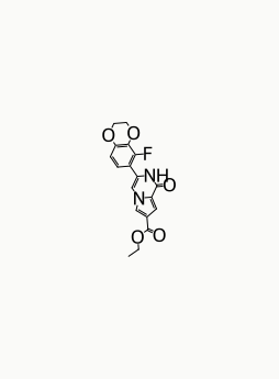 CCOC(=O)c1cc2c(=O)[nH]c(-c3ccc4c(c3F)OCCO4)cn2c1